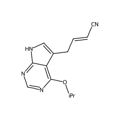 CC(C)Oc1ncnc2[nH]cc(CC=CC#N)c12